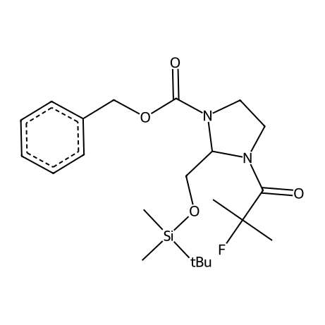 CC(C)(F)C(=O)N1CCN(C(=O)OCc2ccccc2)C1CO[Si](C)(C)C(C)(C)C